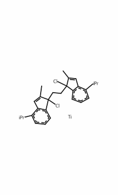 CC1=Cc2c(C(C)C)cccc2C1(Cl)CCC1(Cl)C(C)=Cc2c(C(C)C)cccc21.[Ti]